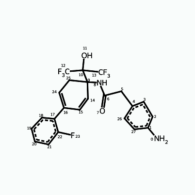 Nc1ccc(CC(=O)NC2(C(O)(C(F)(F)F)C(F)(F)F)C=CC(c3ccccc3F)=CC2)cc1